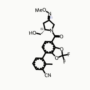 CO/N=C1\C[C@@H](CO)N(C(=O)c2ccc(-c3cccc(C#N)c3C)c3c2OC(F)(F)O3)C1